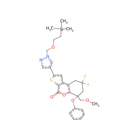 COCC1(Oc2ccccc2)CC(F)(F)Cc2c1oc(=O)c1sc(-c3cnn(COCC[Si](C)(C)C)c3)cc21